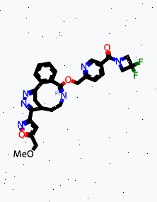 COCc1cc(C2=NN=C3CC2CC/N=C(/OCc2ccc(C(=O)N4CC(F)(F)C4)cn2)c2ccccc23)no1